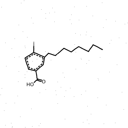 CCCCCCCCc1cc(C(=O)O)ccc1I